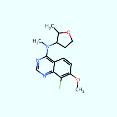 COc1ccc2c(N(C)C3CCOC3C)ncnc2c1F